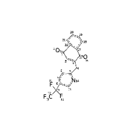 O=C1C=C(Cc2ccc(C(F)(F)C(F)(F)F)cn2)C(=O)c2ccccc21